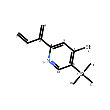 C=CC(=C)c1cc(CC)c([Si](C)(C)C)cn1